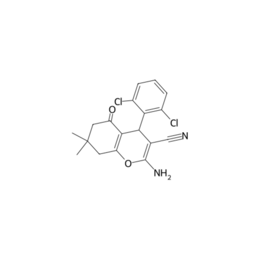 CC1(C)CC(=O)C2=C(C1)OC(N)=C(C#N)C2c1c(Cl)cccc1Cl